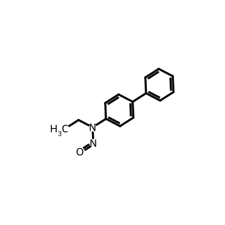 CCN(N=O)c1ccc(-c2ccccc2)cc1